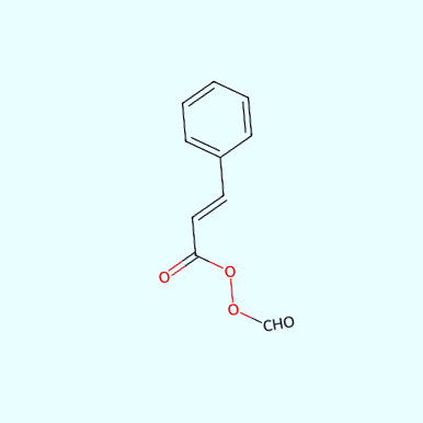 O=COOC(=O)C=Cc1ccccc1